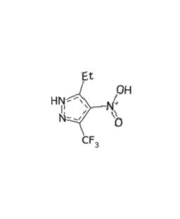 CCc1[nH]nc(C(F)(F)F)c1[N+](=O)O